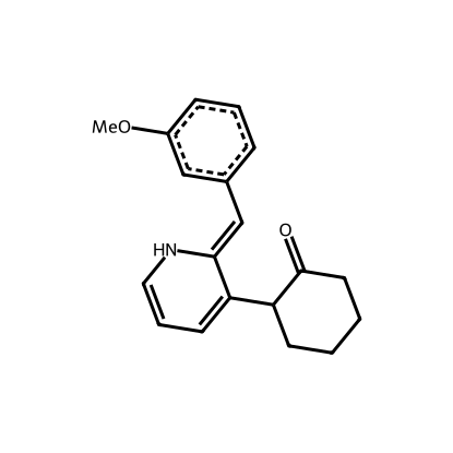 COc1cccc(C=C2NC=CC=C2C2CCCCC2=O)c1